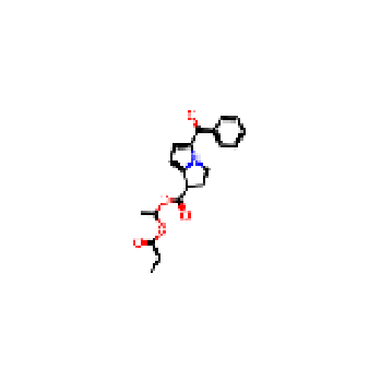 CCC(=O)OC(C)OC(=O)C1CCn2c(C(=O)c3ccccc3)ccc21